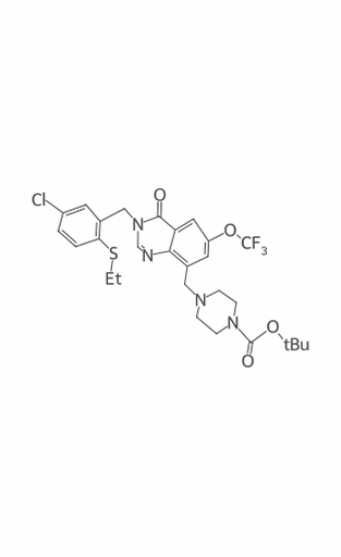 CCSc1ccc(Cl)cc1Cn1cnc2c(CN3CCN(C(=O)OC(C)(C)C)CC3)cc(OC(F)(F)F)cc2c1=O